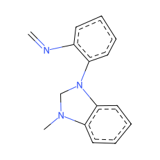 C=Nc1ccccc1N1CN(C)c2ccccc21